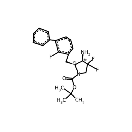 CC(C)(C)OC(=O)N1CC(F)(F)[C@H](N)[C@@H]1Cc1cccc(-c2ccccc2)c1F